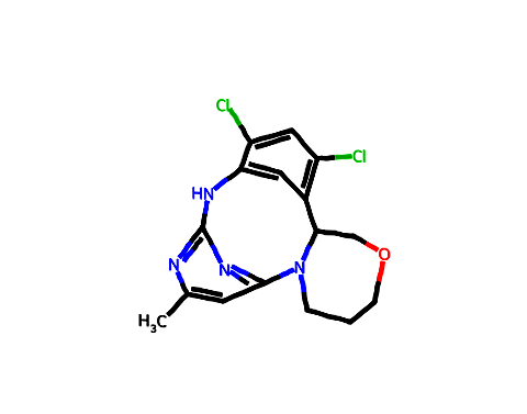 Cc1cc2nc(n1)Nc1cc(c(Cl)cc1Cl)C1COCCCN21